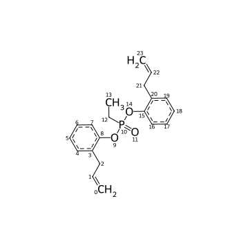 C=CCc1ccccc1OP(=O)(CC)Oc1ccccc1CC=C